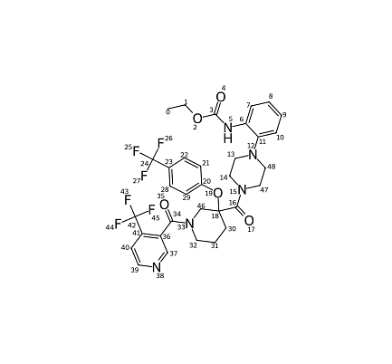 CCOC(=O)Nc1ccccc1N1CCN(C(=O)C2(Oc3ccc(C(F)(F)F)cc3)CCCN(C(=O)c3cnccc3C(F)(F)F)C2)CC1